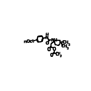 CCCCCCCCc1ccc(NC(=O)NC2(CC(=O)OC(=O)C(F)(F)F)CC[N+](C)(C)CC2)cc1